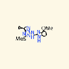 COc1cccc2[nH]c(CNc3nc(SC)nc4c(C5CC5)cnn34)nc12